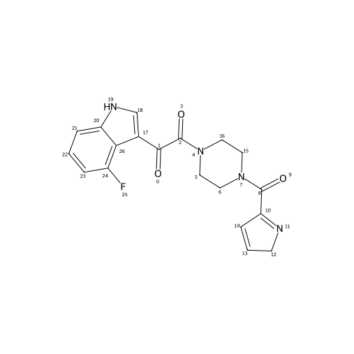 O=C(C(=O)N1CCN(C(=O)C2=NCC=C2)CC1)c1c[nH]c2cccc(F)c12